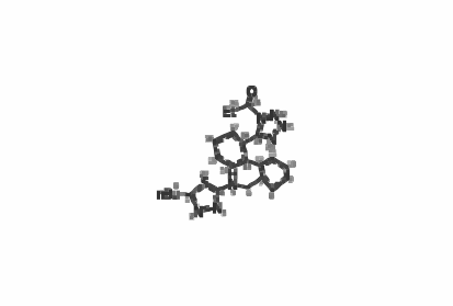 CCCCc1nnc(NCc2ccccc2-c2ccccc2-c2nnnn2C(=O)CC)s1